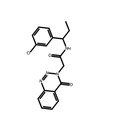 CCC(NC(=O)Cn1nnc2ccccc2c1=O)c1cccc(Cl)c1